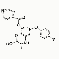 CC(Nc1cc(OC(=O)c2ccncn2)cc(Oc2ccc(F)cc2)c1)C(=O)O